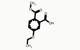 CCOc1ccc(C(=O)OC)c(C(=O)O)c1